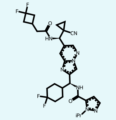 CC(C)n1nccc1C(=O)N[C@H](c1cn2ncc([C@@H](NC(=O)CC3CC(F)(F)C3)C3(C#N)CC3)cc2n1)C1CCC(F)(F)CC1